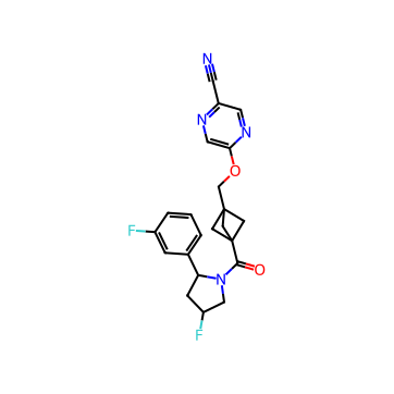 N#Cc1cnc(OCC23CC(C(=O)N4CC(F)CC4c4cccc(F)c4)(C2)C3)cn1